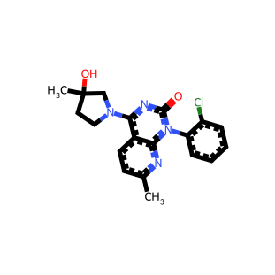 Cc1ccc2c(N3CCC(C)(O)C3)nc(=O)n(-c3ccccc3Cl)c2n1